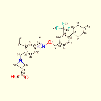 CCc1cc(/C(C)=N/OCc2ccc(C3CCC(C)CC3)c(C(F)(F)F)c2)ccc1CN1CC(C(=O)O)C1